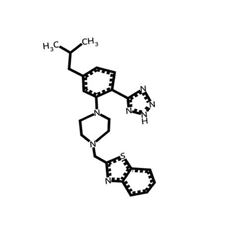 CC(C)Cc1ccc(-c2nn[nH]n2)c(N2CCN(Cc3nc4ccccc4s3)CC2)c1